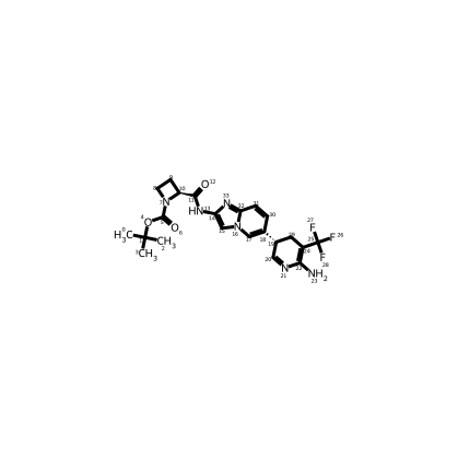 CC(C)(C)OC(=O)N1CC[C@H]1C(=O)Nc1cn2cc([C@H]3C=NC(N)=C(C(F)(F)F)C3)ccc2n1